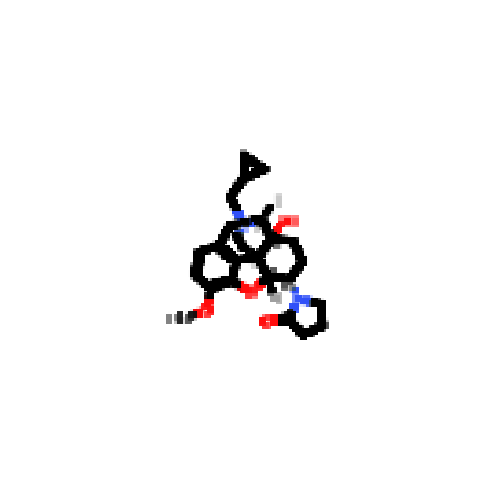 CCCCOc1ccc2c3c1O[C@H]1[C@@H](N4CCCC4=O)CC[C@@]4(O)[C@@H](C2)N(CC2CC2)CC[C@]314